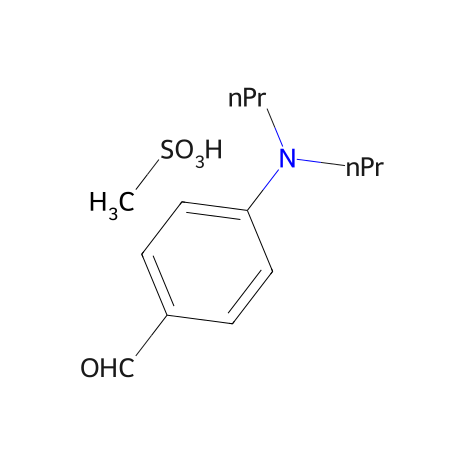 CCCN(CCC)c1ccc(C=O)cc1.CS(=O)(=O)O